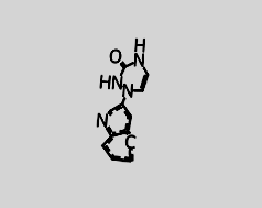 O=C1NC=CN(c2cnc3ccccc3c2)N1